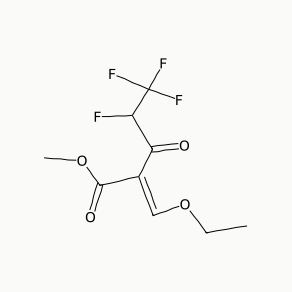 CCO/C=C(/C(=O)OC)C(=O)C(F)C(F)(F)F